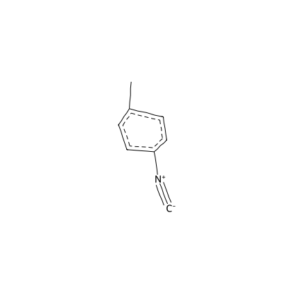 [C-]#[N+]c1ccc(C)cc1